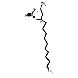 CCCCCCCCCCC[C@H](CCC)N=S(#N)P